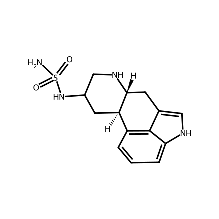 NS(=O)(=O)NC1CN[C@@H]2Cc3c[nH]c4cccc(c34)[C@H]2C1